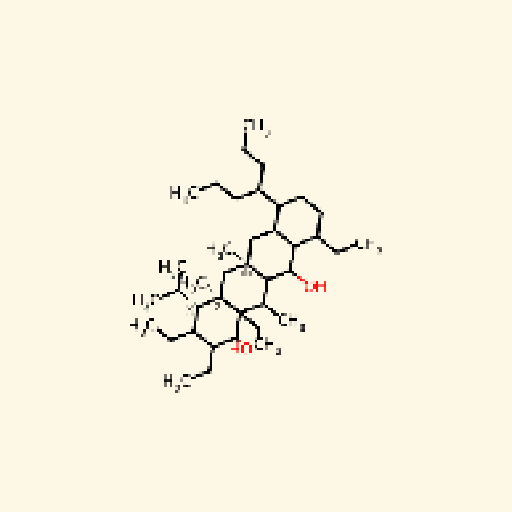 CCCC(CCC)C1CCC(CC)C2C(O)C3C(C)C4(CC)C(O)C(CC)C(CC)[C@H](C(C)C)[C@@]4(C)C[C@@]3(C)CC12